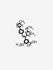 COC(=O)/N=C(SC)/C(=N\c1ccc(-c2noc(C)n2)cc1)c1cc(OC)c2c(c1)C(O)CO2